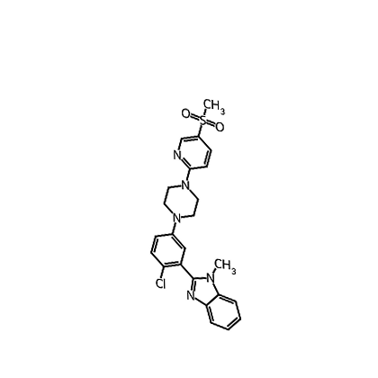 Cn1c(-c2cc(N3CCN(c4ccc(S(C)(=O)=O)cn4)CC3)ccc2Cl)nc2ccccc21